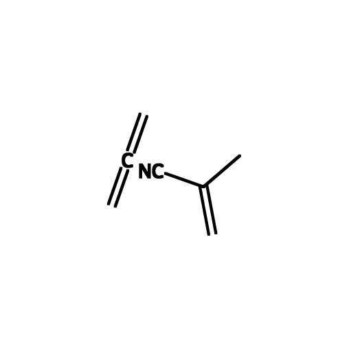 C=C(C)C#N.C=C=C